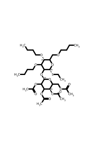 CCCCOCC1O[C@H](SCC)C(O[C@H]2OC(COC(C)=O)[C@@H](OC(C)=O)C(OC(C)=O)C2OC(C)=O)C(OCCCC)[C@@H]1OCCCC